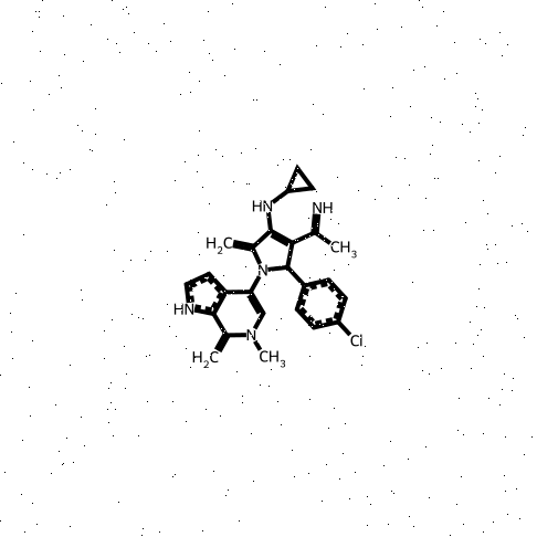 C=C1c2[nH]ccc2C(N2C(=C)C(NC3CC3)=C(C(C)=N)C2c2ccc(Cl)cc2)=CN1C